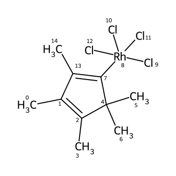 CC1=C(C)C(C)(C)[C]([Rh]([Cl])([Cl])([Cl])[Cl])=C1C